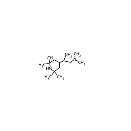 CN(C)CC(N)C1CC(C)(C)NC(C)(C)C1